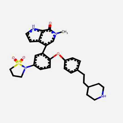 Cn1cc(-c2cc(N3CCCS3(=O)=O)ccc2Oc2ccc(CCC3CCNCC3)cc2)c2cc[nH]c2c1=O